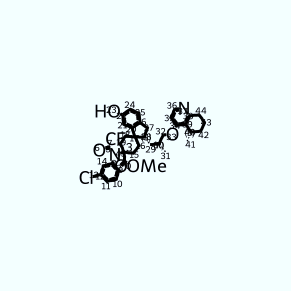 COC(=O)C1(N(C(=O)C(F)(F)F)c2cccc(Cl)c2)CCC2(CC1)c1cc(O)ccc1C[C@@H]2C[C@@H](C)COc1ccnc2c1[C@@H](C)CCC2